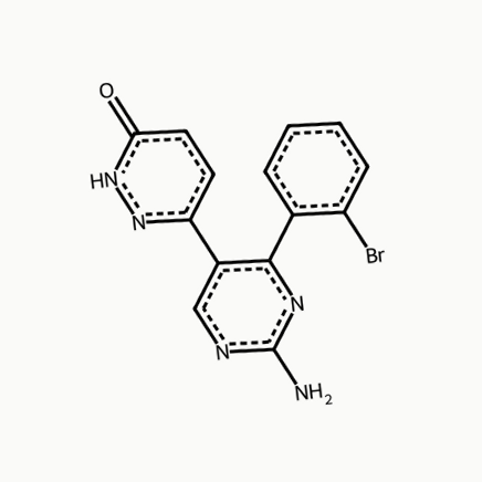 Nc1ncc(-c2ccc(=O)[nH]n2)c(-c2ccccc2Br)n1